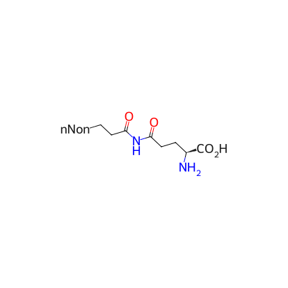 CCCCCCCCCCCC(=O)NC(=O)CC[C@H](N)C(=O)O